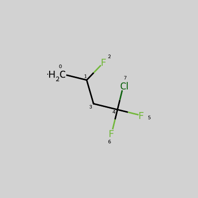 [CH2]C(F)CC(F)(F)Cl